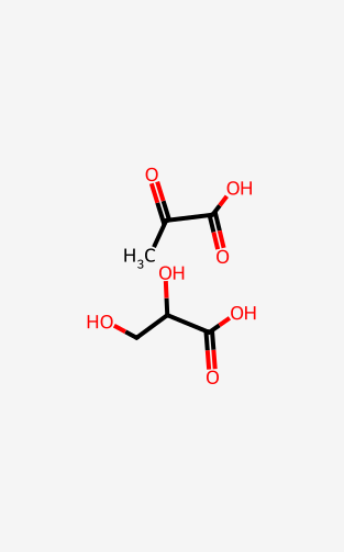 CC(=O)C(=O)O.O=C(O)C(O)CO